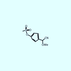 COC(C#N)c1ccc(OS(C)(=O)=O)cc1